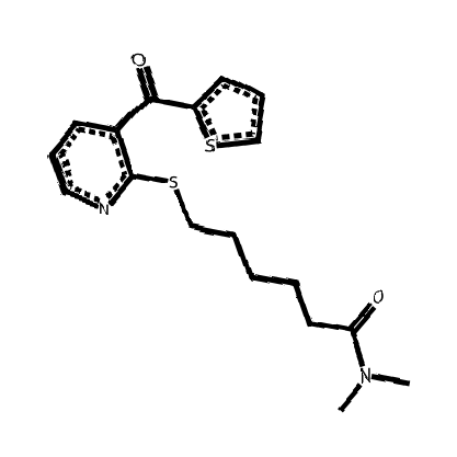 CN(C)C(=O)CCCCCSc1ncccc1C(=O)c1cccs1